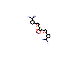 N#CC(C#N)=C1C=C(c2ccc(-c3sc(-c4ccc(C5=CC(=C(C#N)C#N)CCC5)o4)c4c3OCCO4)o2)CCC1